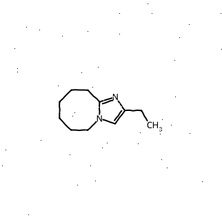 CCc1cn2c(n1)CCCCCC2